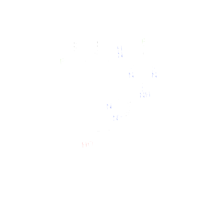 OCCn1cc(Nc2ncc(F)c(NCc3cccc(F)c3)n2)cn1